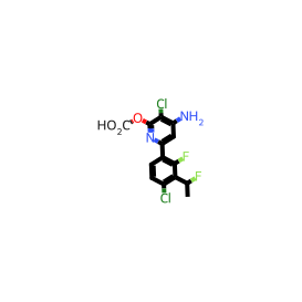 CC(F)c1c(Cl)ccc(-c2cc(N)c(Cl)c(OC(=O)O)n2)c1F